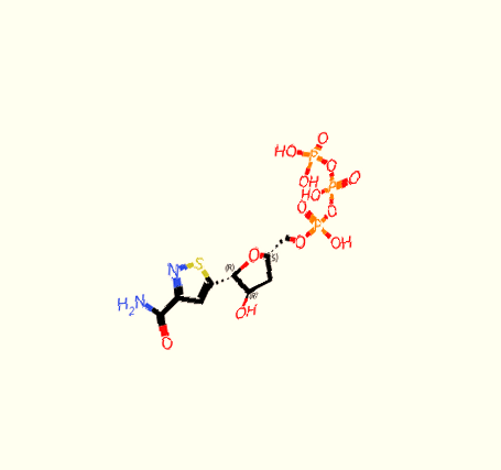 NC(=O)c1cc([C@@H]2O[C@H](COP(=O)(O)OP(=O)(O)OP(=O)(O)O)C[C@H]2O)sn1